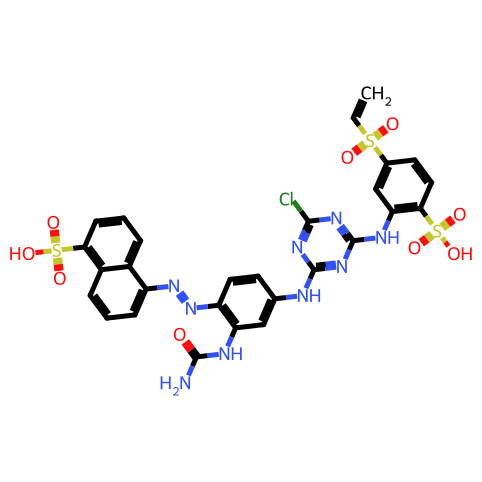 C=CS(=O)(=O)c1ccc(S(=O)(=O)O)c(Nc2nc(Cl)nc(Nc3ccc(N=Nc4cccc5c(S(=O)(=O)O)cccc45)c(NC(N)=O)c3)n2)c1